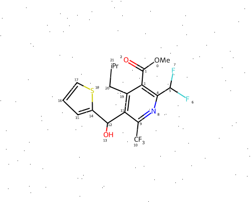 COC(=O)c1c(C(F)F)nc(C(F)(F)F)c(C(O)c2cccs2)c1CC(C)C